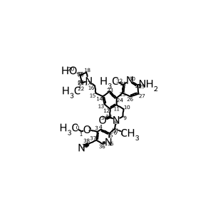 CCOc1cc([C@H](C)N2CCc3c(cc(CCN4C[C@@H](O)[C@H]4C)cc3-c3ccc(N)nc3C)C2=O)ncc1C#N